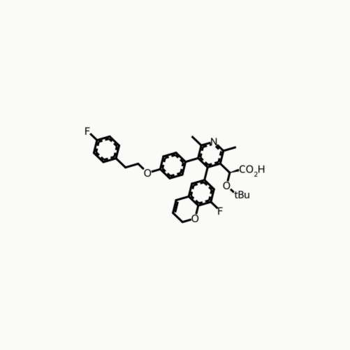 Cc1nc(C)c([C@H](OC(C)(C)C)C(=O)O)c(-c2cc(F)c3c(c2)C=CCO3)c1-c1ccc(OCCc2ccc(F)cc2)cc1